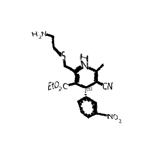 CCOC(=O)C1=C(CSCCN)NC(C)=C(C#N)[C@@H]1c1cccc([N+](=O)[O-])c1